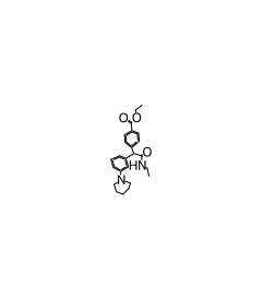 CCNC(=O)C(c1ccc(C(=O)OCC)cc1)c1cccc(N2CCCCC2)c1